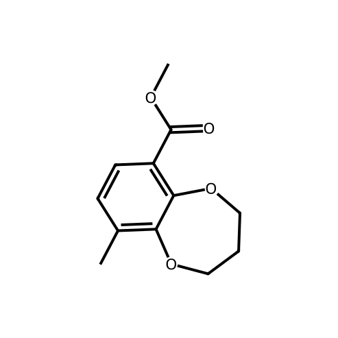 COC(=O)c1ccc(C)c2c1OCCCO2